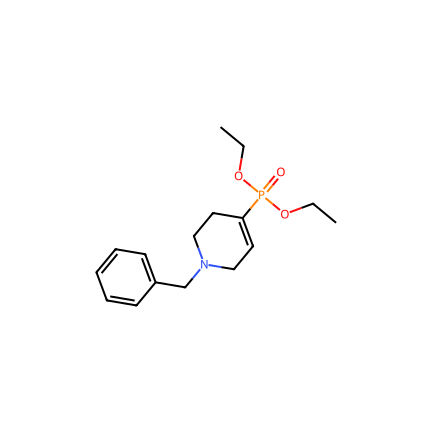 CCOP(=O)(OCC)C1=CCN(Cc2ccccc2)CC1